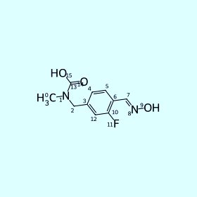 CN(Cc1ccc(C=NO)c(F)c1)C(=O)O